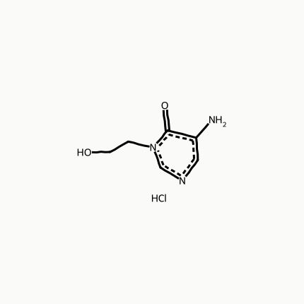 Cl.Nc1cncn(CCO)c1=O